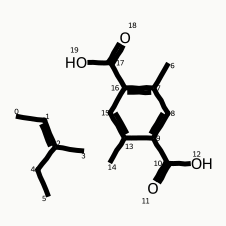 CC=C(C)CC.Cc1cc(C(=O)O)c(C)cc1C(=O)O